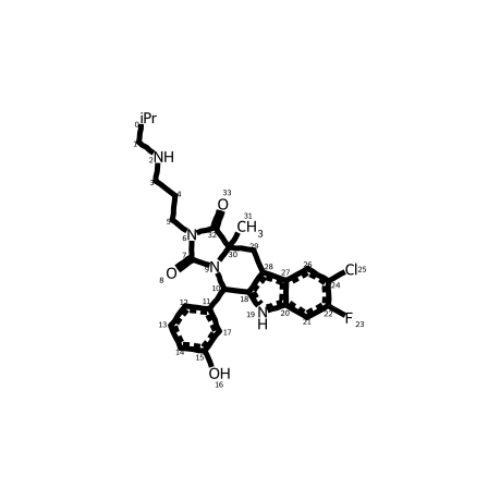 CC(C)CNCCCN1C(=O)N2C(c3cccc(O)c3)c3[nH]c4cc(F)c(Cl)cc4c3CC2(C)C1=O